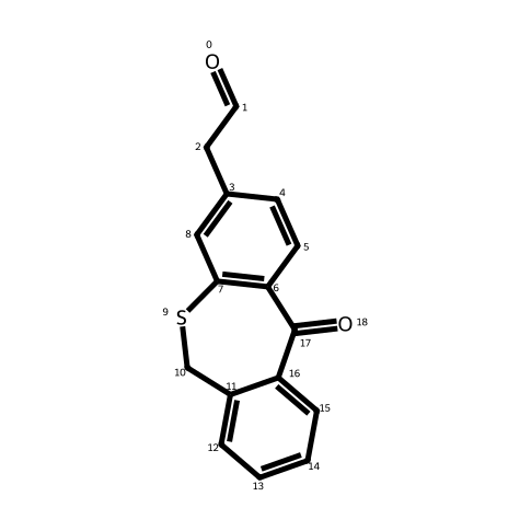 O=CCc1ccc2c(c1)SCc1ccccc1C2=O